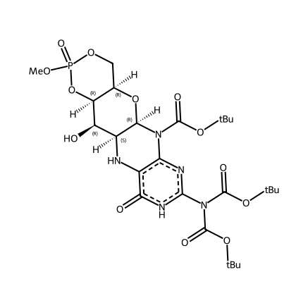 COP1(=O)OC[C@H]2O[C@@H]3[C@@H](Nc4c(nc(N(C(=O)OC(C)(C)C)C(=O)OC(C)(C)C)[nH]c4=O)N3C(=O)OC(C)(C)C)[C@@H](O)[C@H]2O1